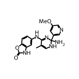 COc1cncc(C2(N)N=C(Nc3ccc4oc(=O)[nH]c4c3)C(C)=CN2)c1